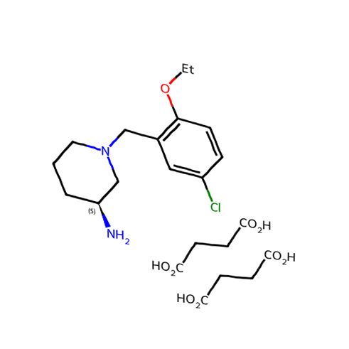 CCOc1ccc(Cl)cc1CN1CCC[C@H](N)C1.O=C(O)CCC(=O)O.O=C(O)CCC(=O)O